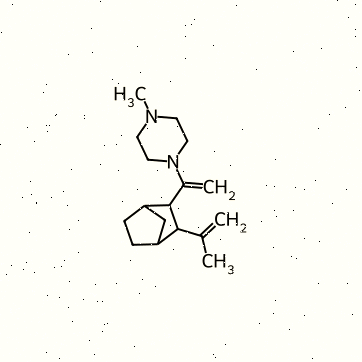 C=C(C)C1C2CCC(C2)C1C(=C)N1CCN(C)CC1